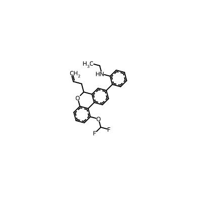 C=CCC1Oc2cccc(OC(F)F)c2-c2ccc(-c3ccccc3NCC)cc21